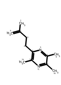 C=C(C)CCc1nc(C)c(C)nc1C